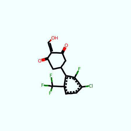 O=C1CC(c2c(C(F)(F)F)ccc(Cl)c2F)CC(=O)C1=CO